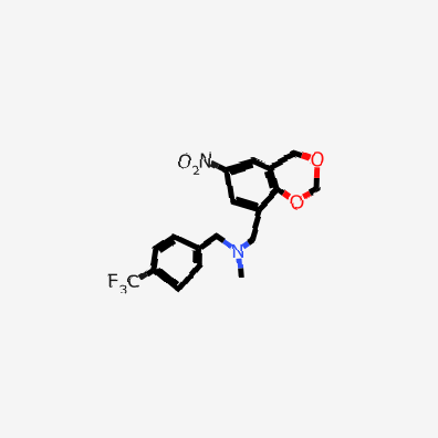 CN(Cc1ccc(C(F)(F)F)cc1)Cc1cc([N+](=O)[O-])cc2c1OCOC2